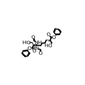 O=CNC(CCCC[C@H](CO)C(=O)Oc1ccccc1)(NC=O)[C@H](CO)C(=O)Oc1ccccc1